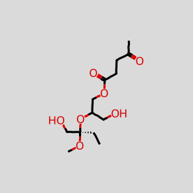 CC[C@@](CO)(OC)OC(CO)COC(=O)CCC(C)=O